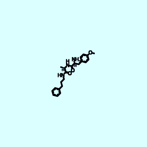 COc1ccc(C[C@H](N)C(=O)N[C@H](C)C(=O)NCCCc2ccccc2)cc1